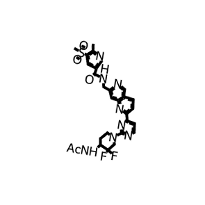 CC(=O)NC1CCN(c2nccc(-c3ccc4cnc(CNC(=O)c5cnc(C)c(S(C)(=O)=O)c5)cc4n3)n2)CC1(F)F